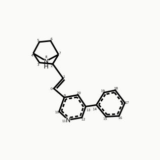 C(=CC1CC2CCC1N2)c1cncc(-c2ccccc2)c1